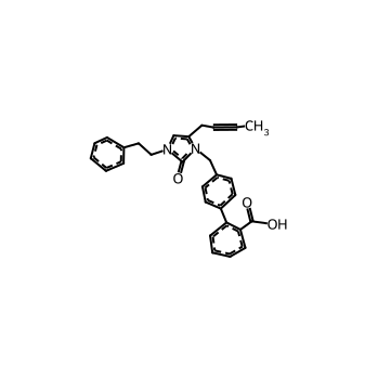 CC#CCc1cn(CCc2ccccc2)c(=O)n1Cc1ccc(-c2ccccc2C(=O)O)cc1